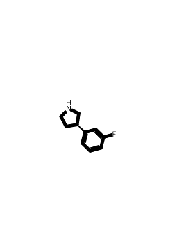 Fc1cccc([C@H]2CCNC2)c1